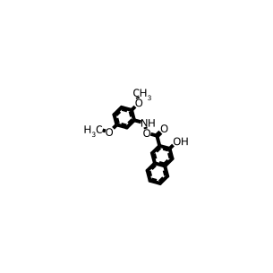 COc1ccc(OC)c(NOC(=O)c2cc3ccccc3cc2O)c1